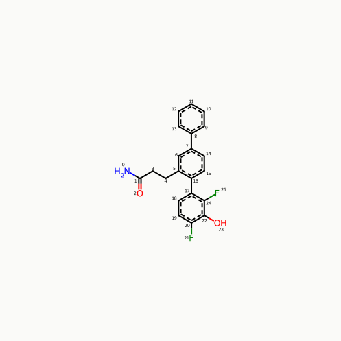 NC(=O)CCc1cc(-c2ccccc2)ccc1-c1ccc(F)c(O)c1F